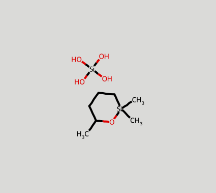 CC1CCC[Si](C)(C)O1.O[Si](O)(O)O